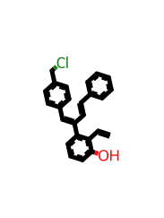 C=Cc1c(O)cccc1C(C=Cc1ccccc1)=Cc1ccc(CCl)cc1